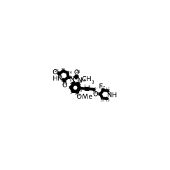 COc1ccc2c(c1C#CCOC1CCNCC1F)n(C)c(=O)n2C1CCC(=O)NC1=O